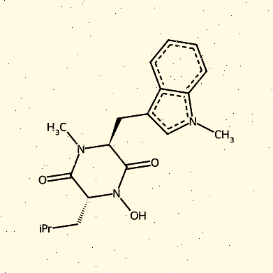 CC(C)C[C@@H]1C(=O)N(C)[C@@H](Cc2cn(C)c3ccccc23)C(=O)N1O